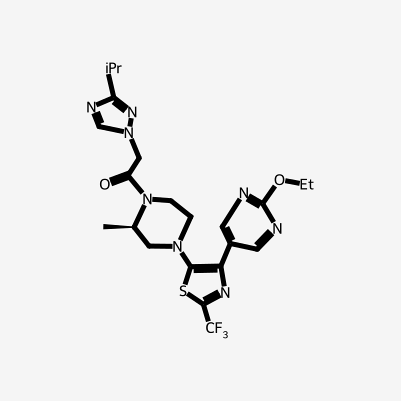 CCOc1ncc(-c2nc(C(F)(F)F)sc2N2CCN(C(=O)Cn3cnc(C(C)C)n3)[C@H](C)C2)cn1